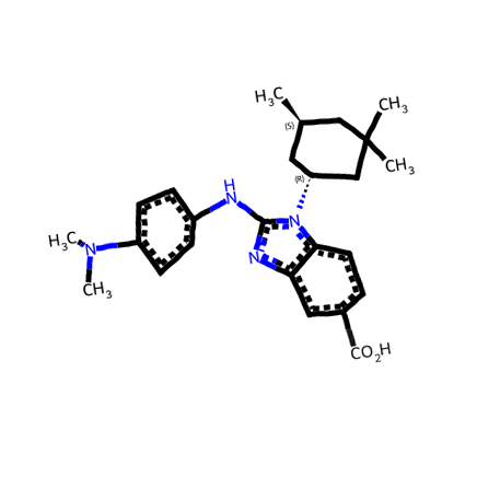 C[C@@H]1C[C@@H](n2c(Nc3ccc(N(C)C)cc3)nc3cc(C(=O)O)ccc32)CC(C)(C)C1